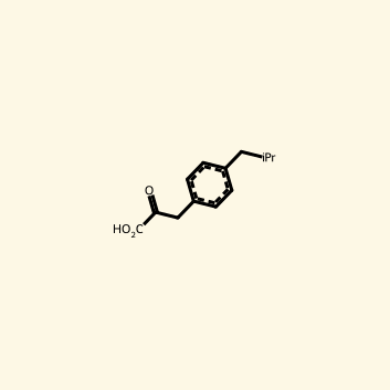 CC(C)Cc1ccc(CC(=O)C(=O)O)cc1